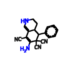 N#CC1=C(N)C(C#N)(C#N)C(c2ccccc2)C2CCNC=C12